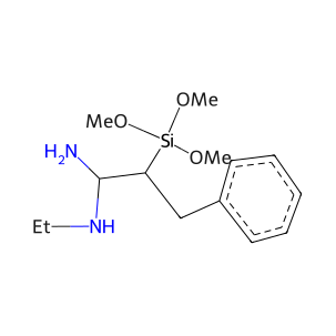 CCNC(N)C(Cc1ccccc1)[Si](OC)(OC)OC